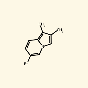 CCc1ccc2c(C)c(C)cn2c1